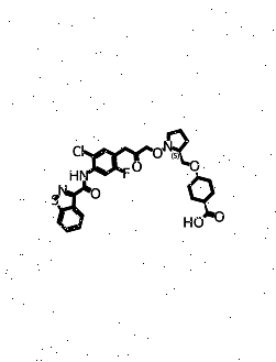 O=C(CON1CCC[C@H]1CO[C@H]1CC[C@H](C(=O)O)CC1)Cc1cc(Cl)c(NC(=O)c2nsc3ccccc23)cc1F